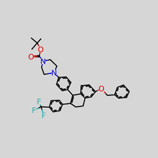 CC(C)(C)OC(=O)N1CCN(c2ccc(C3=C(c4ccc(C(F)(F)F)cc4)CCc4cc(OCc5ccccc5)ccc43)cc2)CC1